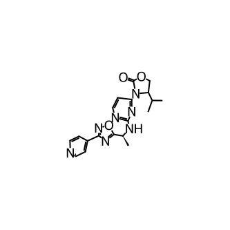 CC(C)C1COC(=O)N1c1ccnc(N[C@@H](C)c2nc(-c3ccncc3)no2)n1